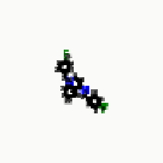 Fc1ccc(C/N=c2/ccn(Cc3ccc(F)cc3)c3ccccc23)cc1